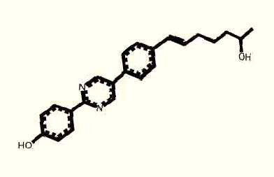 CC(O)CCCC=Cc1ccc(-c2cnc(-c3ccc(O)cc3)nc2)cc1